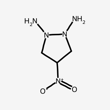 NN1CC([N+](=O)[O-])CN1N